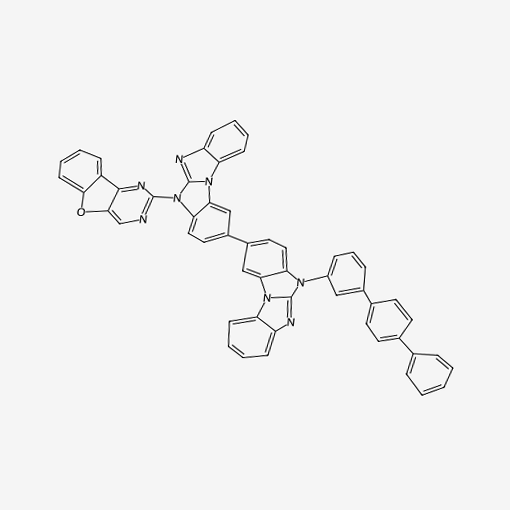 c1ccc(-c2ccc(-c3cccc(-n4c5ccc(-c6ccc7c(c6)n6c8ccccc8nc6n7-c6ncc7oc8ccccc8c7n6)cc5n5c6ccccc6nc45)c3)cc2)cc1